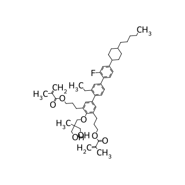 C=C(C)C(=O)OCCCc1cc(-c2ccc(-c3ccc(C4CCC(CCCCC)CC4)cc3F)cc2CC)cc(CCCOC(=O)C(=C)C)c1OCC(C)(CO)CO